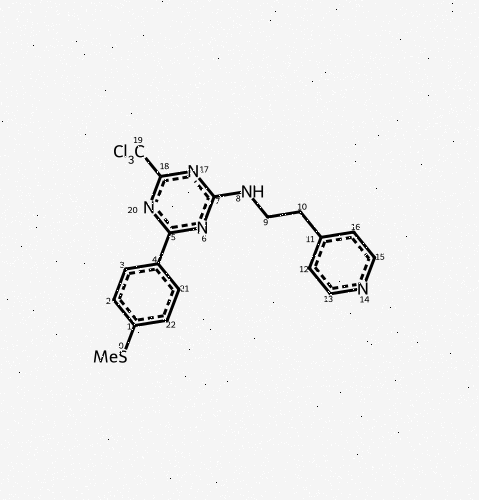 CSc1ccc(-c2nc(NCCc3ccncc3)nc(C(Cl)(Cl)Cl)n2)cc1